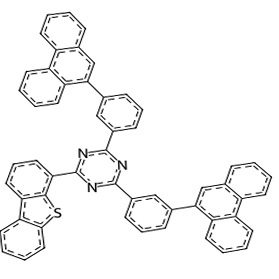 c1cc(-c2nc(-c3cccc(-c4cc5ccccc5c5ccccc45)c3)nc(-c3cccc4c3sc3ccccc34)n2)cc(-c2cc3ccccc3c3ccccc23)c1